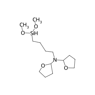 CO[SiH](CCCCN(C1CCCO1)C1CCCO1)OC